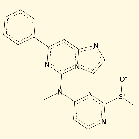 CN(c1ccnc([S+](C)[O-])n1)c1nc(-c2ccccc2)cc2nccn12